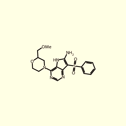 COCC1CN(c2ncnc3c(S(=O)(=O)c4ccccc4)c(N)[nH]c23)CCO1